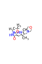 Cc1[nH]c(/C=C2/C(=O)NN=C2OC(C)C)c(C)c1CN1CCOCC1